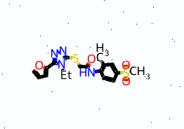 CCn1c(SCC(=O)Nc2ccc(S(C)(=O)=O)cc2C)nnc1-c1ccco1